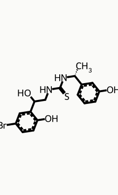 C[C@@H](NC(=S)NCC(O)c1cc(Br)ccc1O)c1cccc(O)c1